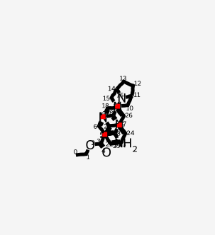 CCOC(=O)c1cnc(N2CC3CCC(C2)N3c2cnc3ccccc3c2)nc1N